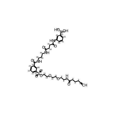 C#CCCCC(=O)NCCOCCOCCOS(=O)(=O)c1cccc(C(=O)NCCCNC(=O)CCC(=O)Nc2cccc(B(O)O)c2)c1